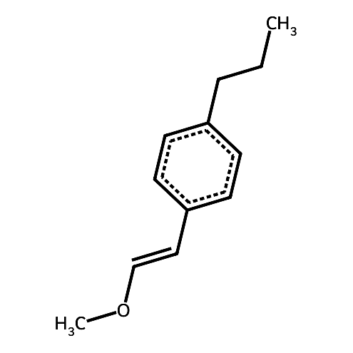 CCCc1ccc(C=COC)cc1